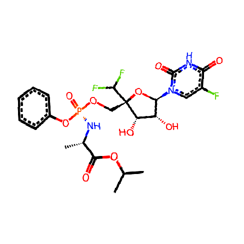 CC(C)OC(=O)[C@H](C)N[P@](=O)(OC[C@@]1(C(F)F)O[C@@H](n2cc(F)c(=O)[nH]c2=O)[C@H](O)[C@@H]1O)Oc1ccccc1